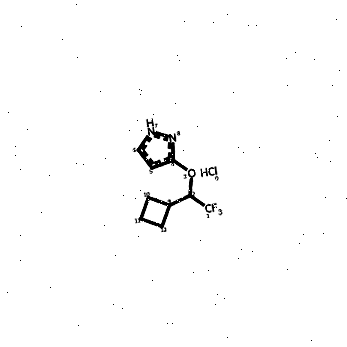 Cl.FC(F)(F)C(Oc1cc[nH]n1)C1CCC1